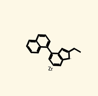 CCC1=Cc2c(cccc2-c2cccc3ccccc23)[CH]1.[Zr]